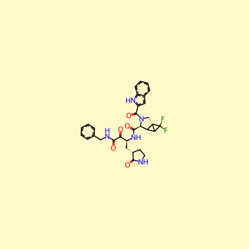 O=C(NCc1ccccc1)C(=O)[C@H](C[C@@H]1CCNC1=O)NC(=O)[C@@H]1C2C3C(F)(F)[C@]23CN1C(=O)c1cc2ccccc2[nH]1